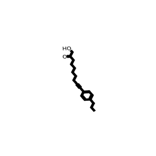 CCCc1ccc(C#CCCCCCCC(=O)CO)cc1